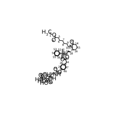 CCOC(=O)CCCCCCN1C(=O)CCC[C@@H]1/C=C/[C@@H](OC(=O)Cc1ccc(OC(=O)NCCCC(O)(P(=O)(O)O)P(=O)(O)O)cc1)C(F)(F)c1ccccc1